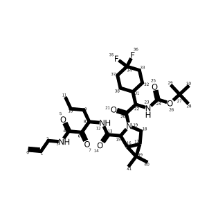 C=CCNC(=O)C(=O)C(CCC)NC(=O)C1C2C(CN1C(=O)C(NC(=O)OC(C)(C)C)C1CCC(F)(F)CC1)C2(C)C